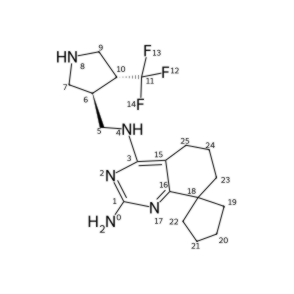 Nc1nc(NC[C@H]2CNC[C@@H]2C(F)(F)F)c2c(n1)C1(CCCC1)CCC2